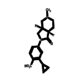 CN1CC[C@]2(F)C(=O)N(c3ccc(C(=O)O)c(C4CC4)c3)C[C@@H]2C1